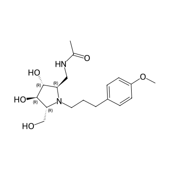 COc1ccc(CCCN2[C@H](CO)[C@@H](O)[C@H](O)[C@H]2CNC(C)=O)cc1